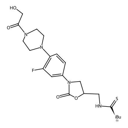 CC[C@H](C)C(=S)NCC1CN(c2ccc(N3CCN(C(=O)CO)CC3)c(F)c2)C(=O)O1